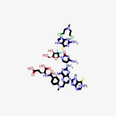 CN(CCCl)CCCl.CN(Cc1cnc2nc(N)nc(N)c2n1)c1ccc(C(=O)N[C@@H](CCC(=O)O)C(=O)O)cc1.Nc1ccn([C@@H]2O[C@H](CO)[C@@H](O)C2(F)F)c(=O)n1.Nc1nc(=S)c2[nH]cnc2[nH]1.S=c1[nH]cnc2nc[nH]c12.[Pt]